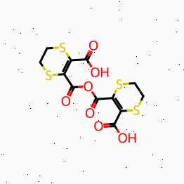 O=C(O)C1=C(C(=O)OC(=O)C2=C(C(=O)O)SCCS2)SCCS1